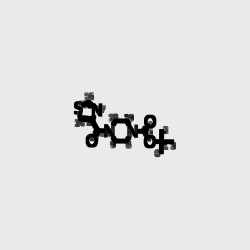 CC(C)(C)OC(=O)N1CCN(C(=O)c2cscn2)CC1